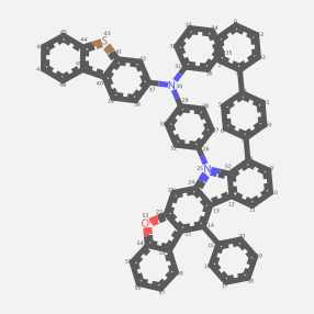 c1ccc(-c2ccc(-c3cccc4c5c(-c6ccccc6)c6c(cc5n(-c5ccc(N(c7ccccc7)c7ccc8c(c7)sc7ccccc78)cc5)c34)oc3ccccc36)cc2)cc1